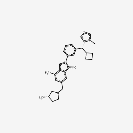 Cn1cnnc1[C@@H](c1cccc(-n2cc3c(C(F)(F)F)cc(CN4CC[C@H](C(F)(F)F)C4)cn3c2=O)c1)C1CCC1